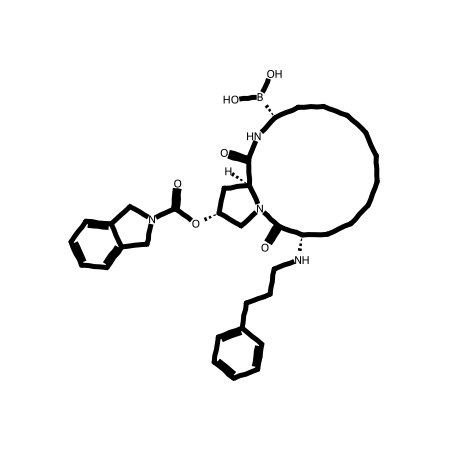 O=C1N[C@H](B(O)O)CCCCCCCCC[C@H](NCCCc2ccccc2)C(=O)N2C[C@H](OC(=O)N3Cc4ccccc4C3)C[C@@H]12